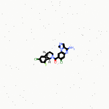 Nc1nc2cc(Cl)c(C(=O)N3CC[C@H]4C[C@@H]3c3c(F)cc(Cl)cc34)cc2n2cncc12